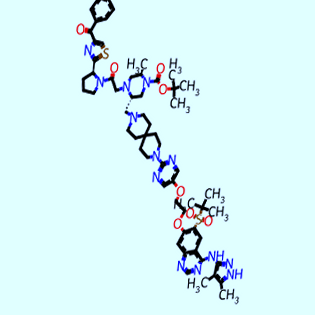 Cc1[nH]nc(Nc2ncnc3cc(OCCOc4cnc(N5CCC6(CCN(C[C@H]7CN(C(=O)OC(C)(C)C)[C@H](C)CN7CC(=O)N7CCC[C@H]7c7nc(C(=O)c8ccc(F)cc8)cs7)CC6)CC5)nc4)c(S(=O)(=O)C(C)(C)C)cc23)c1C